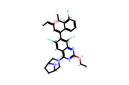 C/C=C(O)\C=C(/c1cccc(F)c1CC)c1c(F)cc2c(N3CC4CCC(C3)N4)nc(OCC)nc2c1F